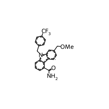 COCc1c[c]c2c3c(C(N)=O)cccc3n(Cc3ccc(C(F)(F)F)cc3)c2c1